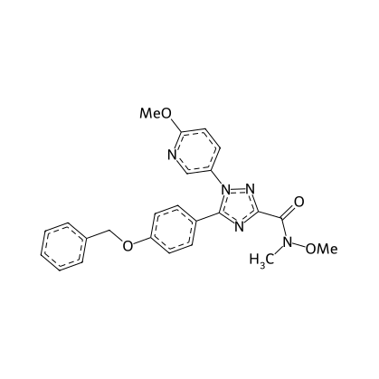 COc1ccc(-n2nc(C(=O)N(C)OC)nc2-c2ccc(OCc3ccccc3)cc2)cn1